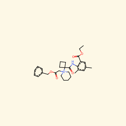 CCOC(=O)c1cc(C)cc(C)c1NC(=O)C1([N+]2(CC(=O)OCc3ccccc3)CCCCC2)CCC1